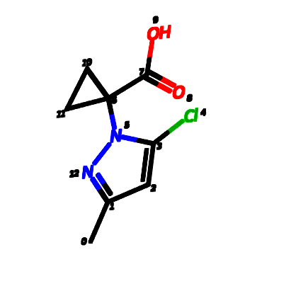 Cc1cc(Cl)n(C2(C(=O)O)CC2)n1